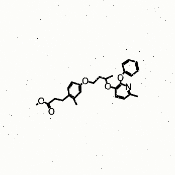 COC(=O)CCc1ccc(OCCC(C)Oc2ccc(C)nc2Oc2ccccc2)cc1C